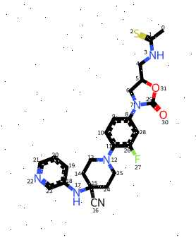 CC(=S)NCC1CN(c2ccc(N3CCC(C#N)(Nc4cccnc4)CC3)c(F)c2)C(=O)O1